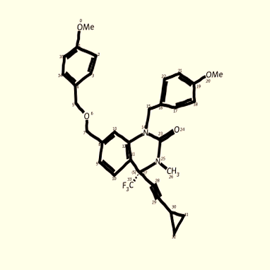 COc1ccc(COCc2ccc3c(c2)N(Cc2ccc(OC)cc2)C(=O)N(C)[C@]3(C#CC2CC2)C(F)(F)F)cc1